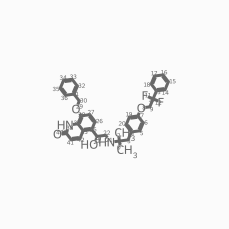 CC(C)(Cc1ccc(OCC(F)(F)c2ccccc2)cc1)NC[C@@H](O)c1ccc(OCc2ccccc2)c2[nH]c(=O)ccc12